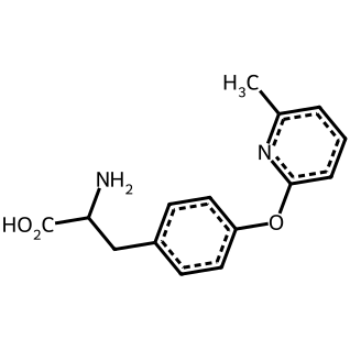 Cc1cccc(Oc2ccc(CC(N)C(=O)O)cc2)n1